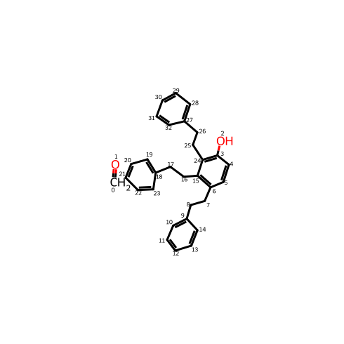 C=O.Oc1ccc(CCc2ccccc2)c(CCc2ccccc2)c1CCc1ccccc1